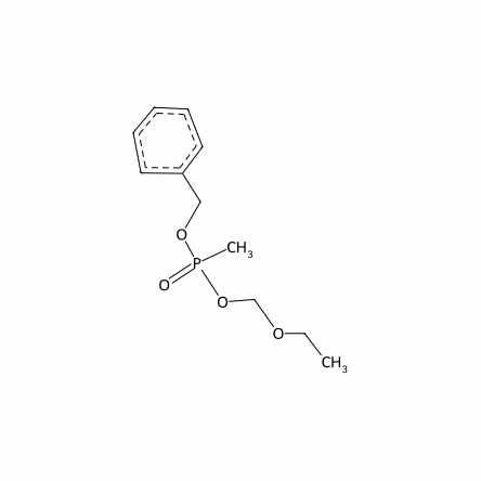 CCOCOP(C)(=O)OCc1ccccc1